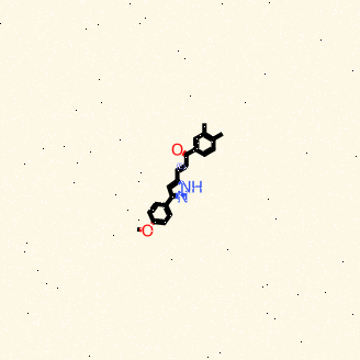 COc1ccc(-c2cc(/C=C/C(=O)c3ccc(C)c(C)c3)[nH]n2)cc1